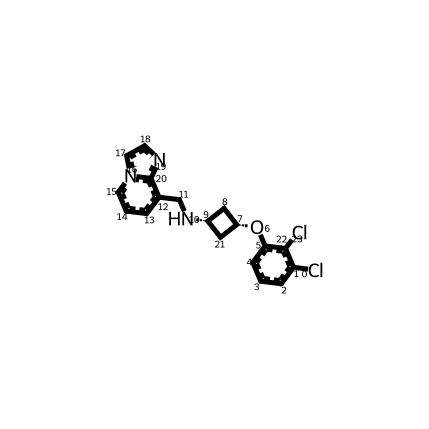 Clc1cccc(O[C@H]2C[C@@H](NCc3cccn4ccnc34)C2)c1Cl